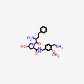 COc1cc(CNC(=O)C2CC(O)CN2C(=O)C(N)CCc2ccccc2)ccc1CN